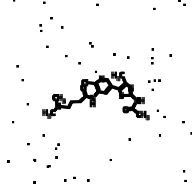 CC(=O)Nc1nc(C)c(-c2cnc(Cl)c(NC(=O)CCCN(C)C)c2)s1